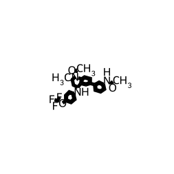 CC(=O)Nc1cccc(-c2ccc3c(c2)C(Nc2ccc(OC(F)(F)F)cc2)CC(C)N3C(C)=O)c1